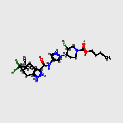 CCCCOC(=O)N1CC[C@H](n2cc(NC(=O)c3n[nH]c4c3C[C@@H]3C(F)(F)[C@]3(C)C4)cn2)[C@@H](F)C1